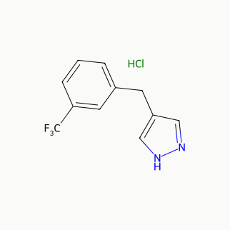 Cl.FC(F)(F)c1cccc(Cc2cn[nH]c2)c1